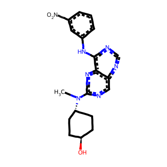 CN(c1ncc2ncnc(Nc3cccc([N+](=O)[O-])c3)c2n1)[C@H]1CC[C@H](O)CC1